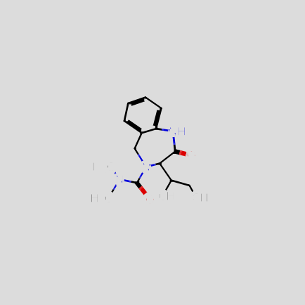 CCC(C)C1C(=O)Nc2ccccc2CN1C(=O)N(C)C